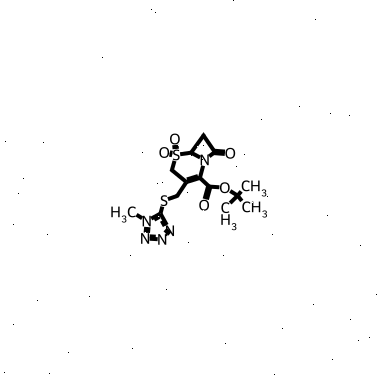 Cn1nnnc1SCC1=C(C(=O)OC(C)(C)C)N2C(=O)CC2S(=O)(=O)C1